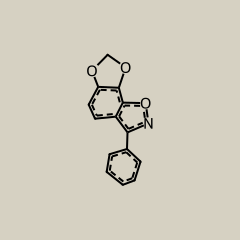 c1ccc(-c2noc3c4c(ccc23)OCO4)cc1